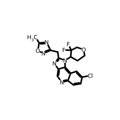 Cc1nc(Cc2nc3cnc4ccc(Cl)cc4c3n2C2CCOCC2(F)F)no1